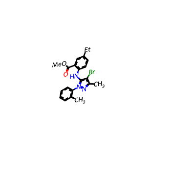 CCc1ccc(Nc2c(Br)c(C)nn2-c2ccccc2C)c(C(=O)OC)c1